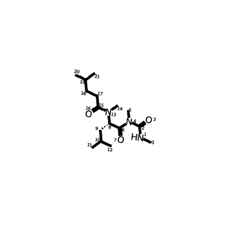 CNC(=O)N(C)C(=O)[C@H](CC(C)C)N(C)C(=O)CCC(C)C